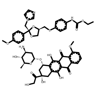 CCOC(=O)Nc1ccc(SC[C@H]2CO[C@](Cn3ccnc3)(c3ccc(OC)cc3)O2)cc1.COc1cccc2c1C(=O)c1c(O)c3c(c(O)c1C2=O)C[C@@](O)(C(=O)CO)C[C@@H]3O[C@H]1C[C@H](N)[C@@H](O)[C@H](C)O1